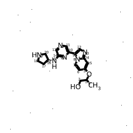 CC(CO)Oc1ccn2c(-c3cncc(N[C@@H]4CCNC4)n3)cnc2c1